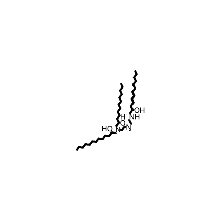 CCCCCCCCCCCC(O)CNCCN(C)CCN(CC(O)CCCCCCCCCCC)CC(O)CCCCCCCCCCC